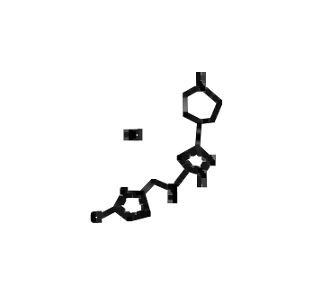 Cl.Clc1ccc(CNc2cc(C3CCNCC3)n[nH]2)s1